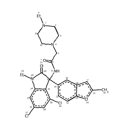 CCN1CCN(CC(=O)NC2(c3ccc4oc(C)cc4c3)C(=O)N(CC)c3cc(Cl)cc(Cl)c32)CC1